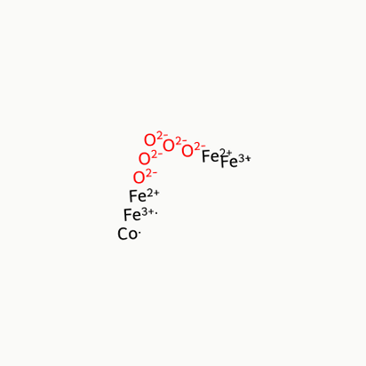 [Co].[Fe+2].[Fe+2].[Fe+3].[Fe+3].[O-2].[O-2].[O-2].[O-2].[O-2]